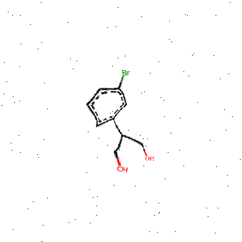 OCC(CO)c1cccc(Br)c1